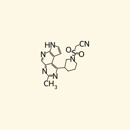 Cc1nc(C2CCCN(S(=O)(=O)CC#N)C2)c2c(cnc3[nH]ccc32)n1